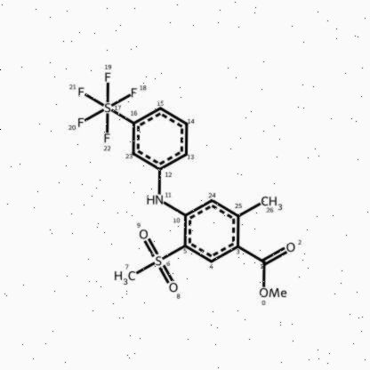 COC(=O)c1cc(S(C)(=O)=O)c(Nc2cccc(S(F)(F)(F)(F)F)c2)cc1C